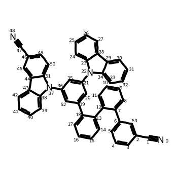 N#Cc1cccc(-c2ccccc2-c2ccccc2-c2cc(-n3c4ccccc4c4ccccc43)cc(-n3c4ccccc4c4cc(C#N)ccc43)c2)c1